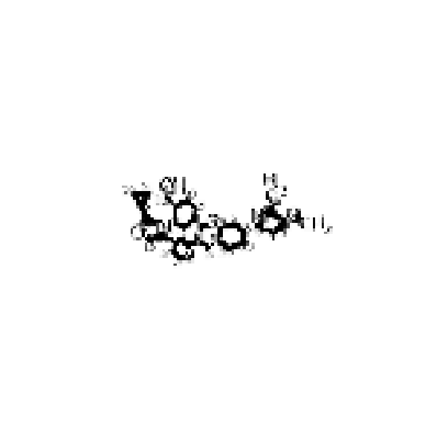 COc1ccc([C@H]2CC[C@H](CN(c3cc(-c4coc(C5CC5)n4)ccn3)C(=O)[C@H]3CC[C@H](CO)CC3)CC2)nc1C